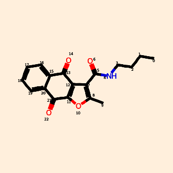 CCCCNC(=O)c1c(C)oc2c1C(=O)c1ccccc1C2=O